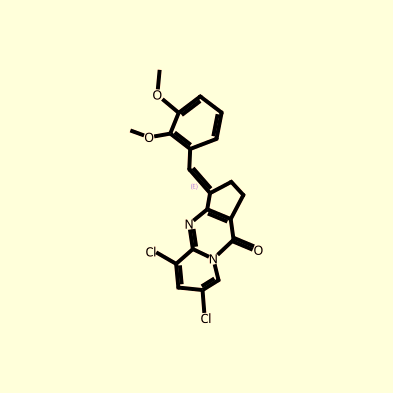 COc1cccc(/C=C2\CCc3c2nc2c(Cl)cc(Cl)cn2c3=O)c1OC